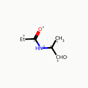 CCC(=O)NC(C)[C]=O